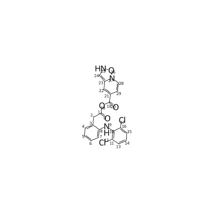 O=C(Cc1ccccc1Nc1c(Cl)cccc1Cl)OC(=O)C1=CC2=CNON2C=C1